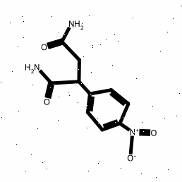 NC(=O)CC(C(N)=O)c1ccc([N+](=O)[O-])cc1